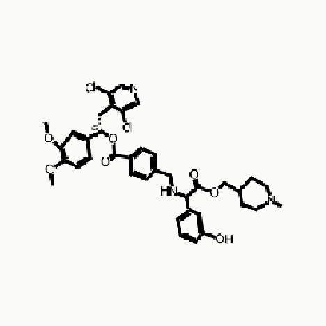 COc1ccc([C@H](Cc2c(Cl)cncc2Cl)OC(=O)c2ccc(CNC(C(=O)OCC3CCN(C)CC3)c3cccc(O)c3)cc2)cc1OC